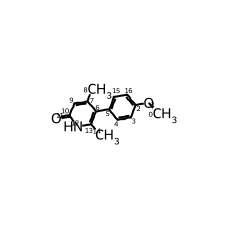 COc1ccc(-c2c(C)cc(=O)[nH]c2C)cc1